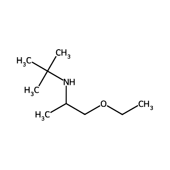 CCOCC(C)NC(C)(C)C